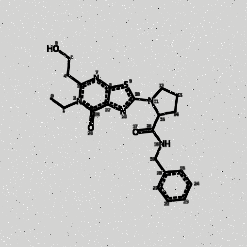 CCn1c(CCO)nc2sc(N3CCCC3C(=O)NCc3ccccc3)nc2c1=O